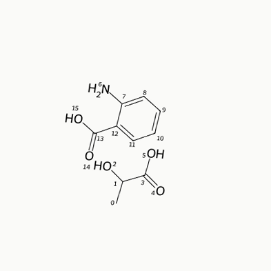 CC(O)C(=O)O.Nc1ccccc1C(=O)O